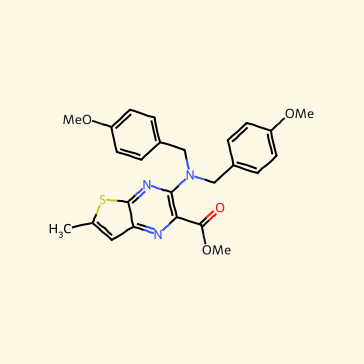 COC(=O)c1nc2cc(C)sc2nc1N(Cc1ccc(OC)cc1)Cc1ccc(OC)cc1